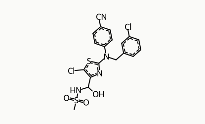 CS(=O)(=O)NC(O)c1nc(N(Cc2cccc(Cl)c2)c2ccc(C#N)cc2)sc1Cl